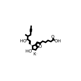 CC#CCC(C)[C@H](O)C=C[C@@H]1c2cc(CCCCC(=O)O)oc2C[C@H]1O.[K]